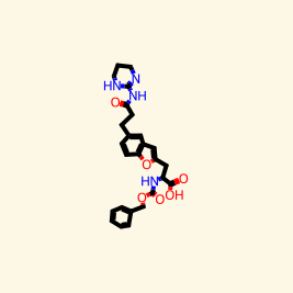 O=C(CCc1ccc2oc(CC(NC(=O)OCc3ccccc3)C(=O)O)cc2c1)NC1=NCCCN1